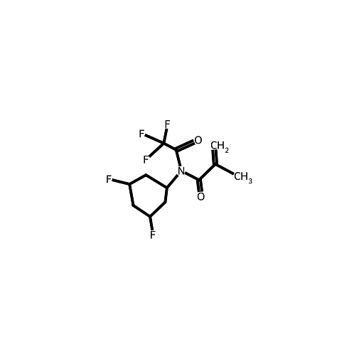 C=C(C)C(=O)N(C(=O)C(F)(F)F)C1CC(F)CC(F)C1